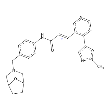 Cn1cc(-c2ccncc2/C=C/C(=O)Nc2ccc(CN3CC4CCC(C3)O4)cc2)cn1